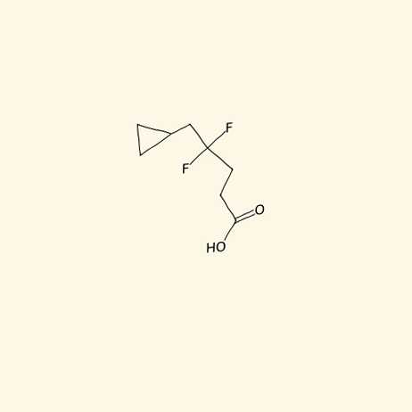 O=C(O)CCC(F)(F)CC1CC1